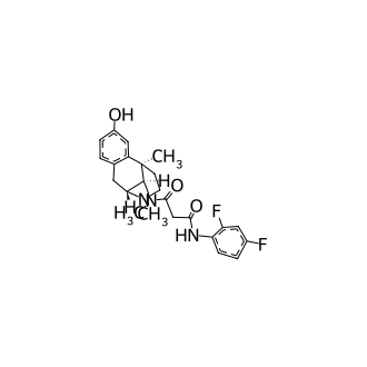 CN1CC[C@]2(C)c3cc(O)ccc3C[C@@H]1[C@@H]2N(C)C(=O)CC(=O)Nc1ccc(F)cc1F